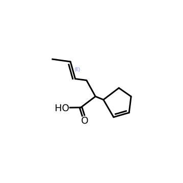 C/C=C/CC(C(=O)O)C1C=CCC1